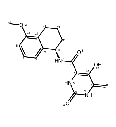 C=C1NC(=O)NC(C(=O)N[C@@H]2CCCc3c(OC)cccc32)=C1O